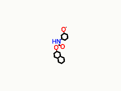 COc1cccc(NC(=O)Oc2ccc3ccccc3c2)c1